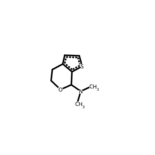 CN(C)C1OCCc2ccsc21